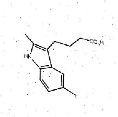 Cc1[nH]c2ccc(F)cc2c1CCCC(=O)O